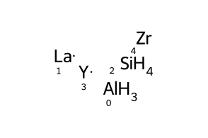 [AlH3].[La].[SiH4].[Y].[Zr]